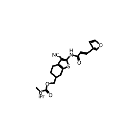 CC(C)N(C)C(=O)OCC1CCc2c(sc(NC(=O)C=Cc3ccoc3)c2C#N)C1